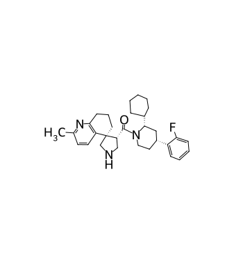 Cc1ccc2c(n1)CCC[C@]21CNC[C@H]1C(=O)N1CC[C@@H](c2ccccc2F)C[C@H]1C1CCCCC1